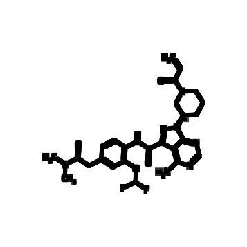 C=CC(=O)N1CCC[C@@H](n2nc(C(=O)Nc3ccc(CC(=O)N(C)C)cc3OC(F)F)c3c(N)ncnc32)C1